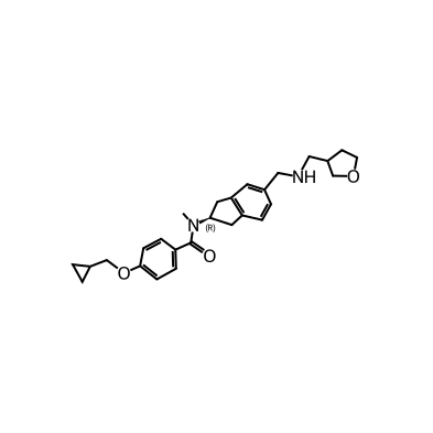 CN(C(=O)c1ccc(OCC2CC2)cc1)[C@@H]1Cc2ccc(CNCC3CCOC3)cc2C1